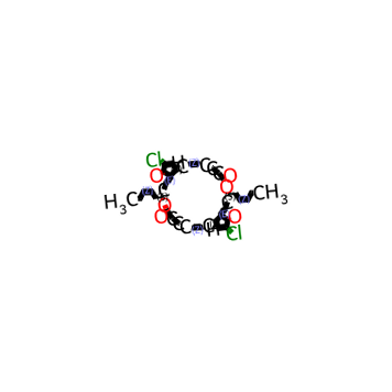 CC/C=C\C[C@H]1C/C=C2/C(=O)C(Cl)=C[C@@H]2C/C=C\CCCC(=O)O[C@@H](C/C=C\CC)C/C=C2/C(=O)C(Cl)=C[C@@H]2C/C=C\CCCC(=O)O1